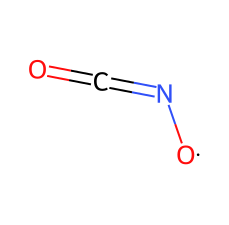 [O]N=C=O